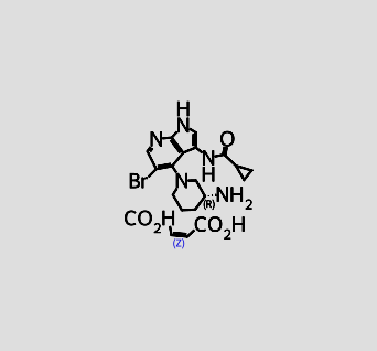 N[C@@H]1CCCN(c2c(Br)cnc3[nH]cc(NC(=O)C4CC4)c23)C1.O=C(O)/C=C\C(=O)O